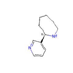 c1cncc([C@H]2CCCCCN2)c1